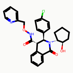 O=C(NOCc1ccccn1)[C@H]1c2ccccc2C(=O)N([C@@H]2CCCC[C@H]2O)[C@@H]1c1ccc(Cl)cc1